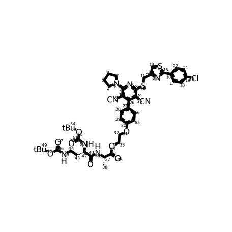 [C-]#[N+]c1c(N2CCCC2)nc(SCc2csc(-c3ccc(Cl)cc3)n2)c(C#N)c1-c1ccc(OCCOC(=O)[C@H](C)NC(=O)[C@H](CCNC(=O)OC(C)(C)C)NC(=O)OC(C)(C)C)cc1